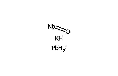 [KH].[O]=[Nb].[PbH2]